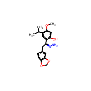 COc1cc(O)c(C(Cc2ccc3c(c2)OCO3)=NN)cc1C(C)C